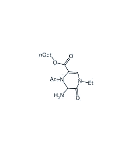 CCCCCCCCOC(=O)C1=CN(CC)C(=O)C(N)N1C(C)=O